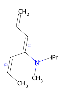 C=C/C=C(\C=C/C)N(C)C(C)C